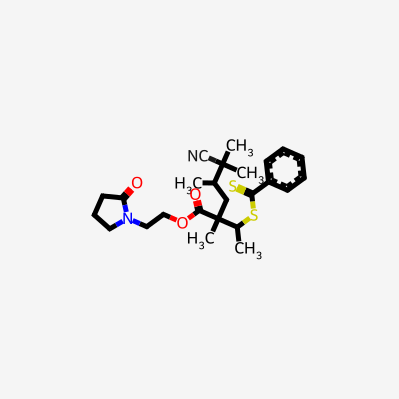 CC(CC(C)(C(=O)OCCN1CCCC1=O)C(C)SC(=S)c1ccccc1)C(C)(C)C#N